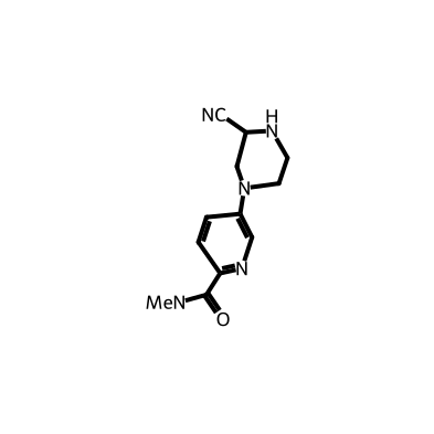 CNC(=O)c1ccc(N2CCNC(C#N)C2)cn1